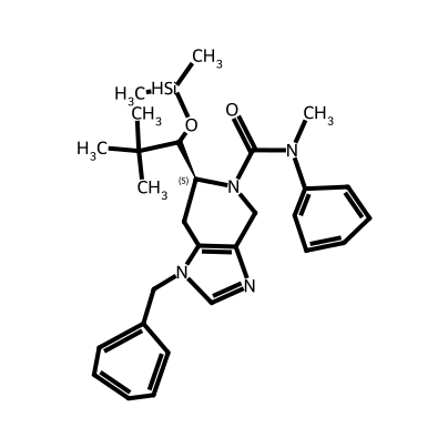 CN(C(=O)N1Cc2ncn(Cc3ccccc3)c2C[C@H]1C(O[SiH](C)C)C(C)(C)C)c1ccccc1